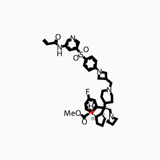 C=CC(=O)Nc1cncc(S(=O)(=O)c2ccc(N3CC(CN4CCC([C@@](CN5CCC5)(c5cccc(F)c5)[C@H]5CCC[C@@H]5NC(=O)OC)CC4)C3)cc2)c1